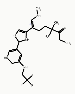 CCC(=O)C(C)(C)CC/C(=C\NC)C1=COC(C2=CNCC(NCC(F)(F)F)=C2)N1